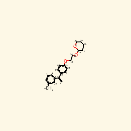 Bc1cccc(C(=C)c2ccc(OCCOC3CCCCO3)cc2)c1